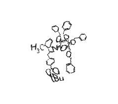 Cc1cccc2c1c(Cc1ccc(C(=O)OC(C)(C)C)cc1)cn2[C@@H]1O[C@H](COCc2ccccc2)[C@@H](OCc2ccccc2)[C@H](OCc2ccccc2)[C@H]1OCc1ccccc1